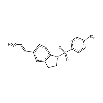 O=C(O)C=Cc1ccc2c(c1)CCN2S(=O)(=O)c1ccc([N+](=O)[O-])cc1